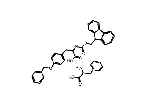 NC(Cc1ccccc1)C(=O)O.O=C(NC(Cc1ccc(OCc2ccccc2)cc1)C(=O)O)OCC1c2ccccc2-c2ccccc21